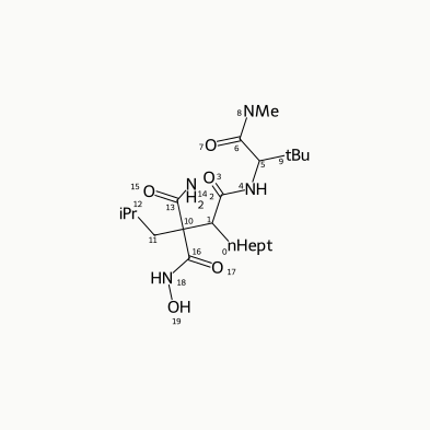 CCCCCCCC(C(=O)NC(C(=O)NC)C(C)(C)C)C(CC(C)C)(C(N)=O)C(=O)NO